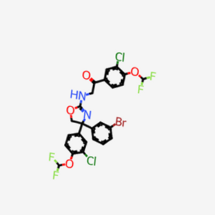 O=C(CNC1=NC(c2cccc(Br)c2)(c2ccc(OC(F)F)c(Cl)c2)CO1)c1ccc(OC(F)F)c(Cl)c1